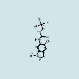 OB1OCc2cc(Cl)c(NC(=S)OCC(F)(F)F)cc21